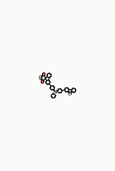 c1ccc(N(c2ccc(-c3ccc4c(c3)-c3ccccc3C43c4ccccc4Oc4ccccc43)cc2)c2ccc(-c3ccc4c(c3)oc3ccccc34)cc2)cc1